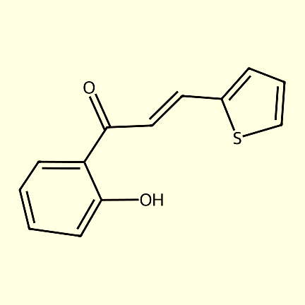 O=C(C=Cc1cccs1)c1ccccc1O